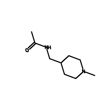 CC(=O)NCC1CCN(C)CC1